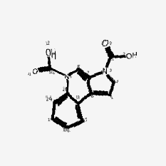 O=C(O)N1CC=C2C1=CN(C(=O)O)c1ccccc12